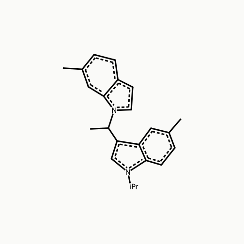 Cc1ccc2c(c1)c(C(C)n1ccc3ccc(C)cc31)cn2C(C)C